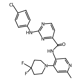 Cc1cc(N2CCC(F)(F)CC2)c(NC(=O)c2ccnc(Nc3ccc(Cl)cc3)n2)cn1